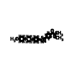 CON(C)C(=O)c1ccc(-c2nnc(-c3ccc(N4CCN([C@H]5CC[C@@H](C)CC5)CC4)cc3)s2)cc1